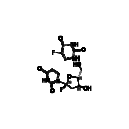 O=c1[nH]cc(F)c(=O)[nH]1.O=c1ccn([C@@]2(F)C[C@H](O)[C@@H](CO)O2)c(=O)[nH]1